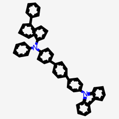 c1ccc(-c2cccc3c(N(c4ccccc4)c4ccc(-c5ccc(-c6ccc(-n7c8ccccc8c8ccccc87)cc6)cc5)cc4)cccc23)cc1